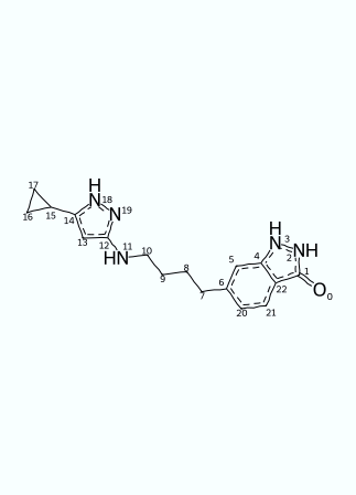 O=c1[nH][nH]c2cc(CCCCNc3cc(C4CC4)[nH]n3)ccc12